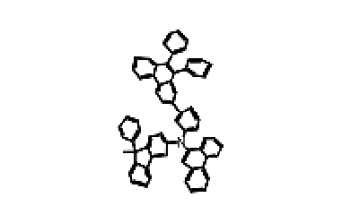 CC1(c2ccccc2)c2ccccc2-c2cc(N(c3cccc(-c4ccc5c(c4)c(-c4ccccc4)c(-c4ccccc4)c4ccccc45)c3)c3cc4ccccc4c4ccccc34)ccc21